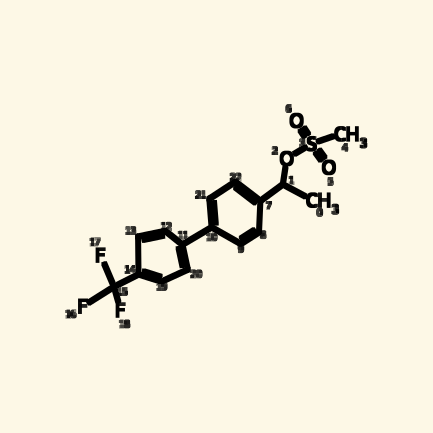 CC(OS(C)(=O)=O)c1ccc(-c2ccc(C(F)(F)F)cc2)cc1